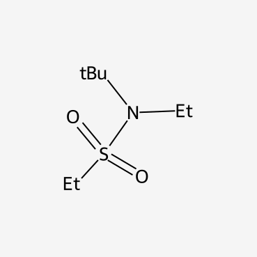 CCN(C(C)(C)C)S(=O)(=O)CC